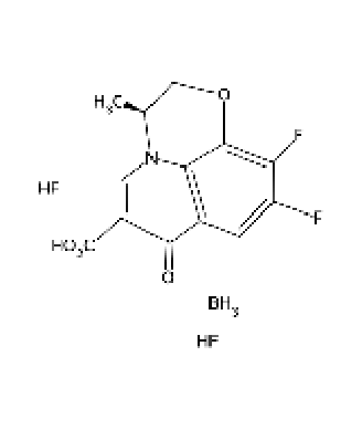 B.C[C@H]1COc2c(F)c(F)cc3c(=O)c(C(=O)O)cn1c23.F.F